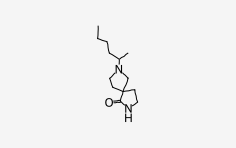 CCCCC(C)N1CCC2(CCNC2=O)C1